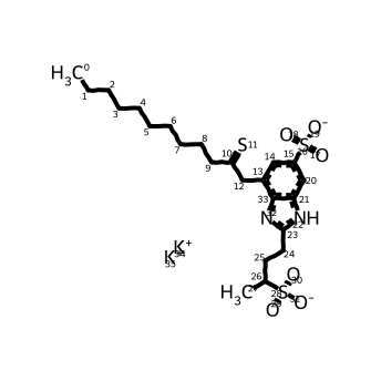 CCCCCCCCCCC(=S)Cc1cc(S(=O)(=O)[O-])cc2[nH]c(CCC(C)S(=O)(=O)[O-])nc12.[K+].[K+]